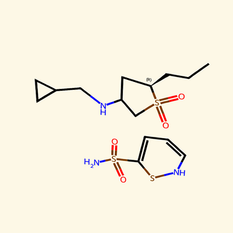 CCC[C@@H]1CC(NCC2CC2)CS1(=O)=O.NS(=O)(=O)C1=CC=CNS1